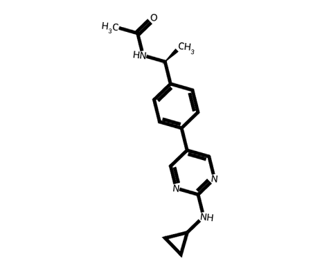 CC(=O)N[C@@H](C)c1ccc(-c2cnc(NC3CC3)nc2)cc1